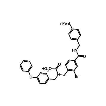 CCCCCc1ccc(CNC(=O)c2ccc(CN(Cc3ccc(Oc4ccccc4)cc3)C(=O)C(=O)O)c(Br)c2)cc1